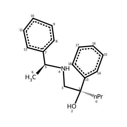 CCC[C@](O)(CN[C@@H](C)c1ccccc1)c1ccccc1